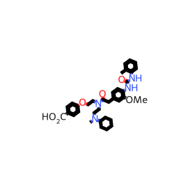 COc1cc(CC(=O)N(CCOc2ccc(C(=O)O)cc2)CCN(C)C2CCCCC2)ccc1NC(=O)Nc1ccccc1C